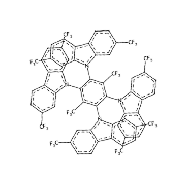 FC(F)(F)c1ccc2c3ccc(C(F)(F)F)cc3n(-c3c(-n4c5cc(C(F)(F)F)ccc5c5ccc(C(F)(F)F)cc54)c(C(F)(F)F)c(-n4c5cc(C(F)(F)F)ccc5c5ccc(C(F)(F)F)cc54)c(-n4c5cc(C(F)(F)F)ccc5c5ccc(C(F)(F)F)cc54)c3C(F)(F)F)c2c1